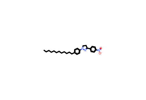 CCCCCCCCCCCCc1ccc(N2CCC(c3ccc([N+](=O)[O-])cc3)=N2)cc1